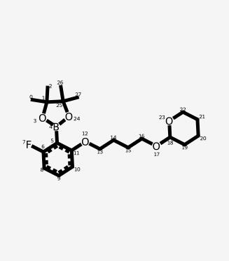 CC1(C)OB(c2c(F)cccc2OCCCCOC2CCCCO2)OC1(C)C